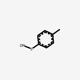 Cc1ccc(SN=O)cc1